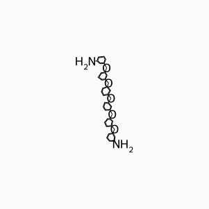 Nc1cccc(Oc2cccc(Oc3cccc(Oc4cccc(Oc5cccc(Oc6cccc(N)c6)c5)c4)c3)c2)c1